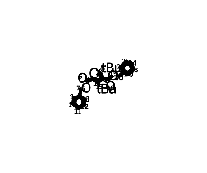 CC(C)(C)c1oc(C(=O)OCc2ccccc2)c(C(C)(C)C)c1C(=O)OCc1ccccc1